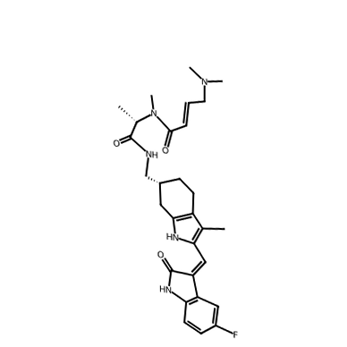 Cc1c(/C=C2\C(=O)Nc3ccc(F)cc32)[nH]c2c1CC[C@@H](CNC(=O)[C@H](C)N(C)C(=O)/C=C/CN(C)C)C2